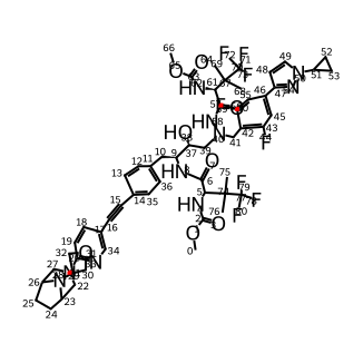 COC(=O)NC(C(=O)N[C@@H](Cc1ccc(C#Cc2ccc(N3CC4CCC(C3)N4C3COC3)nc2)cc1)[C@@H](O)CN(Cc1c(F)cc(-c2ccn(C3CC3)n2)cc1F)NC(=O)[C@@H](NC(=O)OC)C(C)(C)C(F)(F)F)C(C)(C)C(F)(F)F